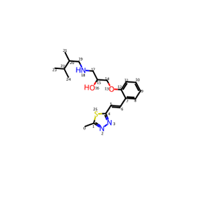 Cc1nnc(C=Cc2ccccc2OCC(O)CNCC(C)C(C)C)s1